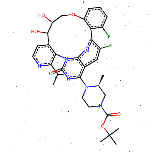 CC(C)c1nccc2c1-n1c(=O)nc(N3CCN(C(=O)OC(C)(C)C)C[C@@H]3C)c3cc(F)c(nc31)-c1c(F)cccc1OCC(O)C2O